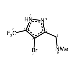 CNCc1n[nH]c(C(F)(F)F)c1Br